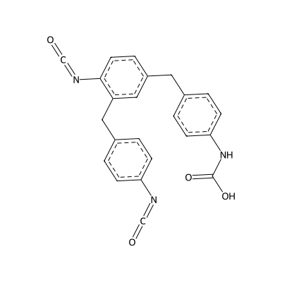 O=C=Nc1ccc(Cc2cc(Cc3ccc(NC(=O)O)cc3)ccc2N=C=O)cc1